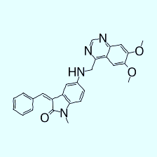 COc1cc2ncnc(CNc3ccc4c(c3)C(=Cc3ccccc3)C(=O)N4C)c2cc1OC